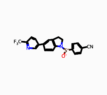 N#Cc1ccc([S+]([O-])N2CCc3cc(-c4ccc(C(F)(F)F)nc4)ccc32)cc1